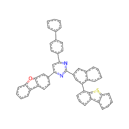 c1ccc(-c2ccc(-c3cc(-c4ccc5c(c4)oc4ccccc45)nc(-c4cc(-c5cccc6c5sc5ccccc56)c5ccccc5c4)n3)cc2)cc1